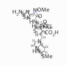 CO/N=C(\C(=O)N[C@@H]1C(=O)N2C(C(=O)O)=C(CN3C=CN4NC(SC)=CC=C34)CS[C@@H]12)c1nsc(N)n1.Cl.Cl